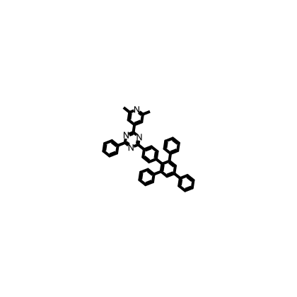 Cc1cc(-c2nc(-c3ccccc3)nc(-c3ccc(-c4c(-c5ccccc5)cc(-c5ccccc5)cc4-c4ccccc4)cc3)n2)cc(C)n1